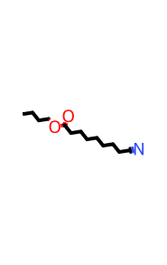 CCCCOC(=O)CCCCCCCC#N